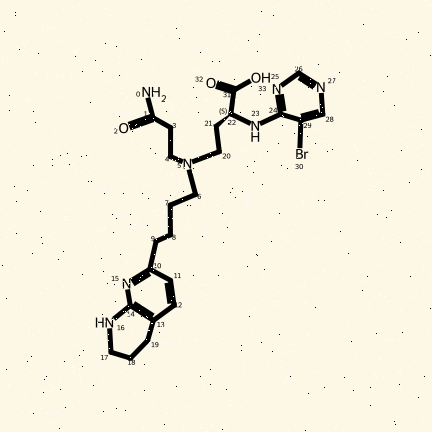 NC(=O)CCN(CCCCc1ccc2c(n1)NCCC2)CC[C@H](Nc1ncncc1Br)C(=O)O